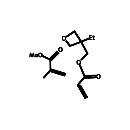 C=C(C)C(=O)OC.C=CC(=O)OCC1(CC)COC1